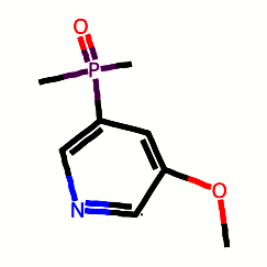 COc1[c]ncc(P(C)(C)=O)c1